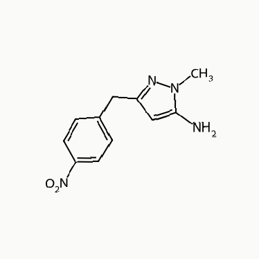 Cn1nc(Cc2ccc([N+](=O)[O-])cc2)cc1N